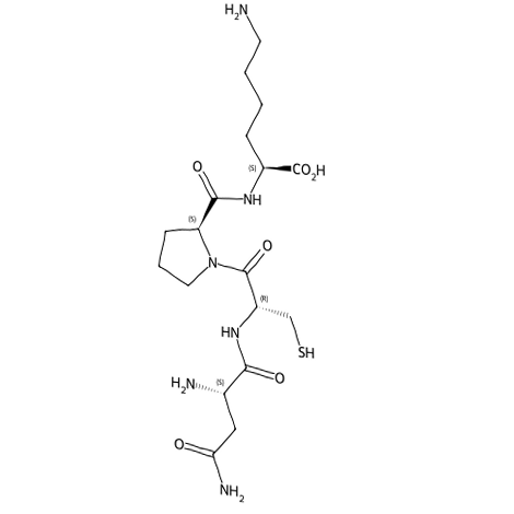 NCCCC[C@H](NC(=O)[C@@H]1CCCN1C(=O)[C@H](CS)NC(=O)[C@@H](N)CC(N)=O)C(=O)O